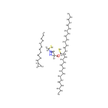 CCCCCCCCCCCC1CC1.CCCCCCCCCCCCCCC(CCCCCCCCCCCCCC)C(=S)OC(C)CNC(C)=S